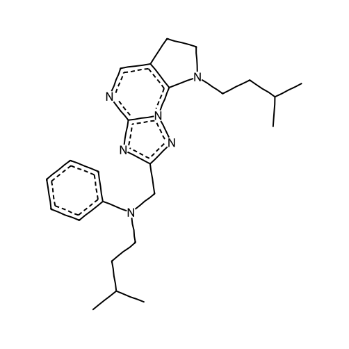 CC(C)CCN(Cc1nc2ncc3c(n2n1)N(CCC(C)C)CC3)c1ccccc1